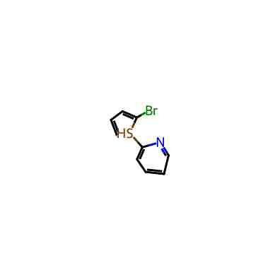 BrC1=CC=C[SH]1c1ccccn1